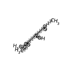 CCCCCCCOC(=O)CCCCCCCN(CCO)CCCCCCCC(=O)Oc1ccc(CC)c(CC)c1